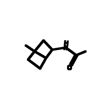 CC(=O)NC1CC2(C)CCC12